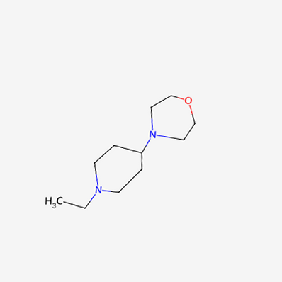 CCN1CCC(N2CCOCC2)CC1